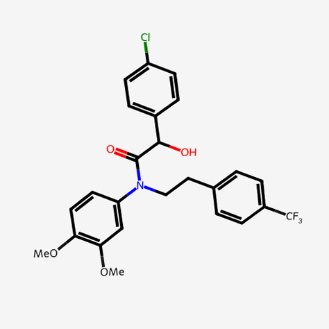 COc1ccc(N(CCc2ccc(C(F)(F)F)cc2)C(=O)C(O)c2ccc(Cl)cc2)cc1OC